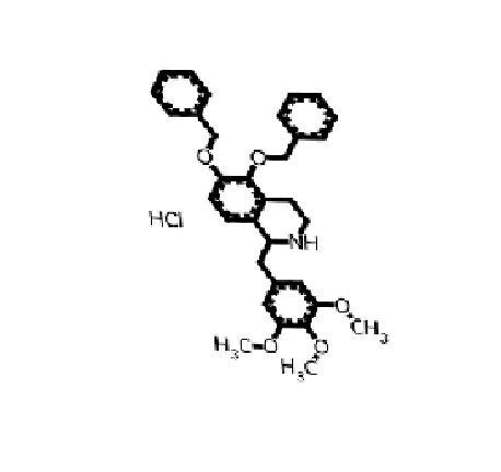 COc1cc(CC2NCCc3c2ccc(OCc2ccccc2)c3OCc2ccccc2)cc(OC)c1OC.Cl